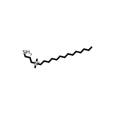 CCCCCCCCCCCCCC[N+](C)(C)CCC[SiH3]